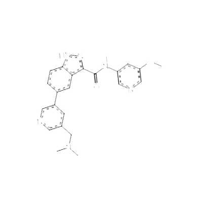 COc1cncc(NC(=O)c2n[nH]c3ccc(-c4cncc(CN(C)C)c4)cc23)c1